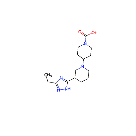 CCc1n[nH]c(C2CCCN(C3CCN(C(=O)O)CC3)C2)n1